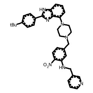 CC(C)(C)c1ccc(-c2nc3c(N4CCN(Cc5ccc([N+](=O)[O-])c(NCc6cccnc6)c5)CC4)cccc3[nH]2)cc1